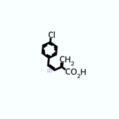 C=C(/C=C\c1ccc(Cl)cc1)C(=O)O